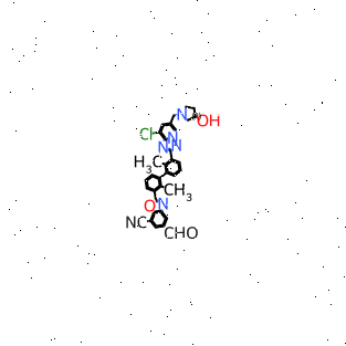 Cc1c(-c2nc3c(Cl)cc(CN4CC[C@@H](O)C4)cn3n2)cccc1-c1cccc(-c2nc3cc(C=O)cc(C#N)c3o2)c1C